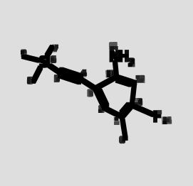 Cc1cc(C#C[Si](C)(C)C)c(N)cc1F